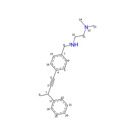 CC(C#Cc1ccc(CNCCN(C)C)cc1)c1ccccc1